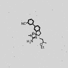 CCO[C@H](C)CC[C@H]1Cc2ccc(-c3cccc(C#N)c3)cc2C12N=C(N)N(C)O2